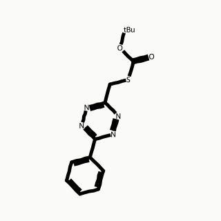 CC(C)(C)OC(=O)SCc1nnc(-c2ccccc2)nn1